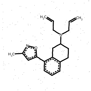 C=CCN(CC=C)C1CCc2cccc(-c3cc(C)no3)c2C1